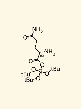 CC(C)(C)O[Si](OC(=O)[C@@H](N)CCC(N)=O)(OC(C)(C)C)OC(C)(C)C